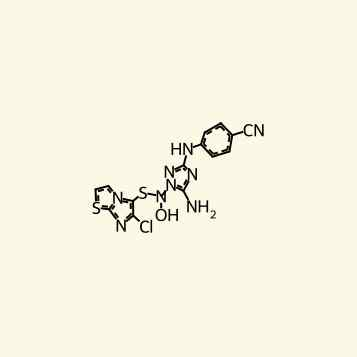 N#Cc1ccc(Nc2nc(N)n(N(O)Sc3c(Cl)nc4sccn34)n2)cc1